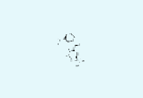 CC(C)c1cccc(C(=O)c2cccc(C(C)C)n2)n1